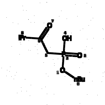 CCCCOP(=O)(O)CC(=O)C(C)C